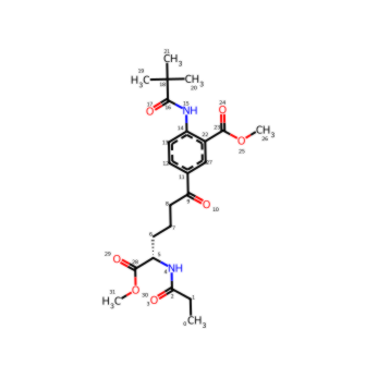 CCC(=O)N[C@@H](CCCC(=O)c1ccc(NC(=O)C(C)(C)C)c(C(=O)OC)c1)C(=O)OC